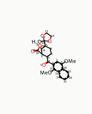 COc1cc(C(=O)C2CCC3(C4(C)OCCO4)CC2C(=O)O3)c(OC)c2ccccc12